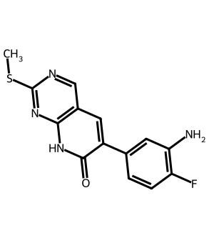 CSc1ncc2cc(-c3ccc(F)c(N)c3)c(=O)[nH]c2n1